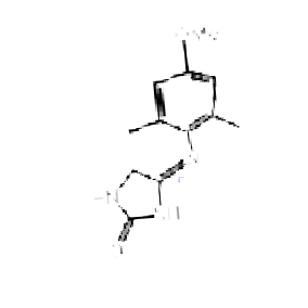 COc1cc(C)c(/N=C2\CNC(=O)N2)c(C)c1